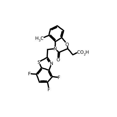 Cc1cccc2c1N(Cc1nc3c(F)c(F)cc(F)c3s1)C(=O)C(CC(=O)O)O2